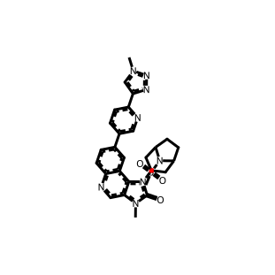 Cn1cc(-c2ccc(-c3ccc4ncc5c(c4c3)n(C3CC4CCC(C3)N4S(C)(=O)=O)c(=O)n5C)cn2)nn1